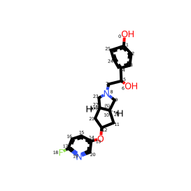 Oc1ccc(C(O)CN2C[C@H]3CC(Oc4ccc(F)nc4)C[C@H]3C2)cc1